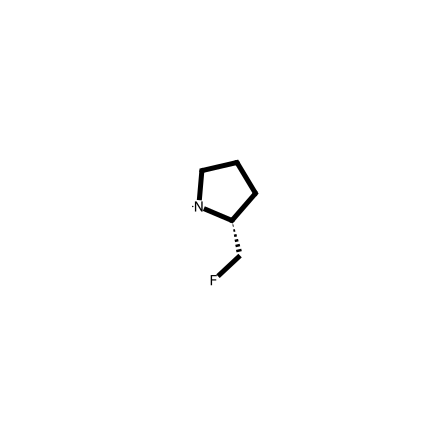 FC[C@H]1CCC[N]1